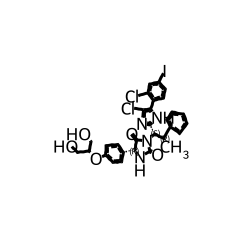 C[C@H](c1ccccc1)[C@@H](c1nc(Cl)c(-c2ccc(I)cc2Cl)[nH]1)N1C(=O)N[C@H](c2ccc(OC(CO)CO)cc2)C1=O